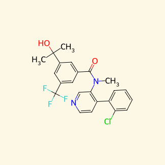 CN(C(=O)c1cc(C(C)(C)O)cc(C(F)(F)F)c1)c1cnccc1-c1ccccc1Cl